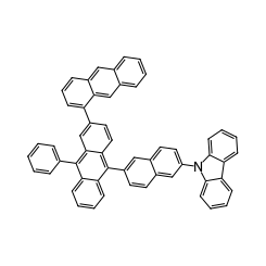 c1ccc(-c2c3ccccc3c(-c3ccc4cc(-n5c6ccccc6c6ccccc65)ccc4c3)c3ccc(-c4cccc5cc6ccccc6cc45)cc23)cc1